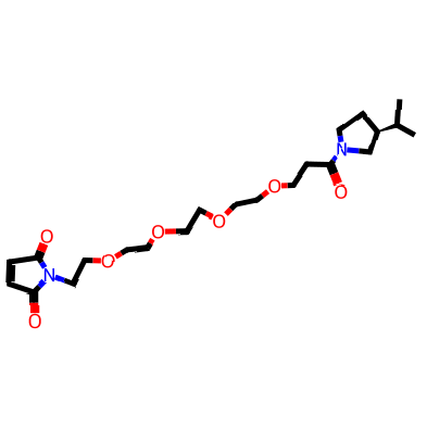 CC(C)[C@@H]1CCN(C(=O)CCOCCOCCOCCOCCN2C(=O)C=CC2=O)C1